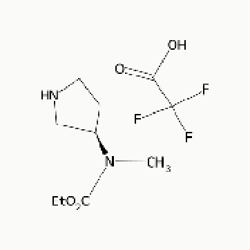 CCOC(=O)N(C)[C@@H]1CCNC1.O=C(O)C(F)(F)F